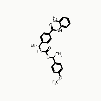 CC[C@@H](NC(=O)O[C@@H](C)c1ccc(OC(F)(F)F)cc1)c1ccc(C(=O)Nc2ccccc2N)cc1